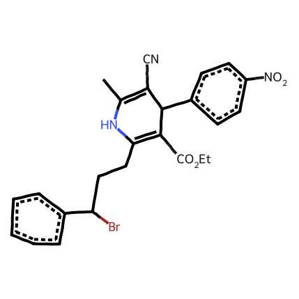 CCOC(=O)C1=C(CCC(Br)c2ccccc2)NC(C)=C(C#N)C1c1ccc([N+](=O)[O-])cc1